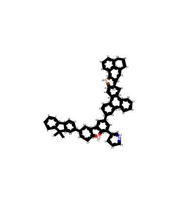 CC1(C)c2ccccc2-c2ccc(-c3ccc4oc5c(-c6cccnc6)cc(-c6ccc7c(c6)c6ccccc6c6cc8c(cc76)sc6c7cccc9c7c(cc86)C=CC9)cc5c4c3)cc21